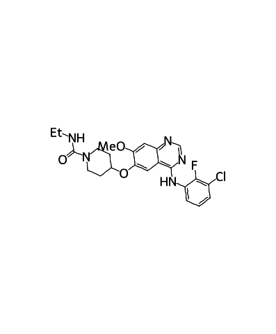 CCNC(=O)N1CCC(Oc2cc3c(Nc4cccc(Cl)c4F)ncnc3cc2OC)CC1